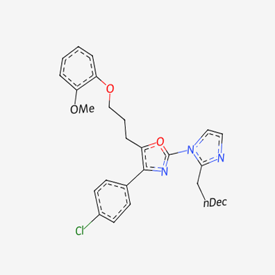 CCCCCCCCCCCc1nccn1-c1nc(-c2ccc(Cl)cc2)c(CCCOc2ccccc2OC)o1